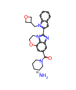 N[C@@H]1CCCN(C(=O)c2cc3c4c(c2)nc(-c2cc5ccccc5n2CC2COC2)n4CCO3)C1